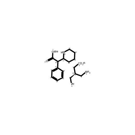 CC(C)C[C@H](CN)CC(=O)O.COC(=O)C(c1ccccc1)C1CCCCN1